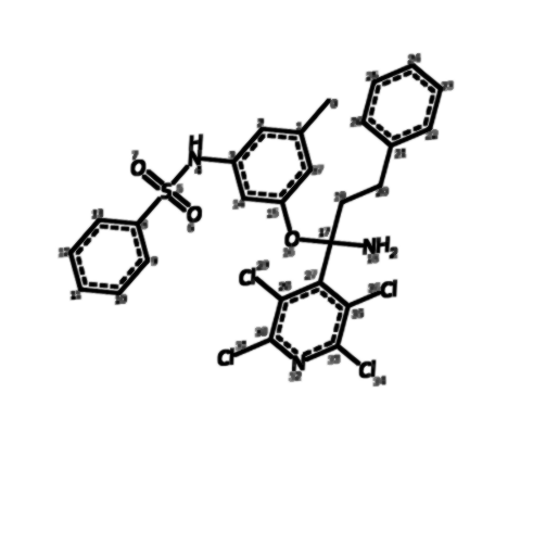 Cc1cc(NS(=O)(=O)c2ccccc2)cc(OC(N)(CCc2ccccc2)c2c(Cl)c(Cl)nc(Cl)c2Cl)c1